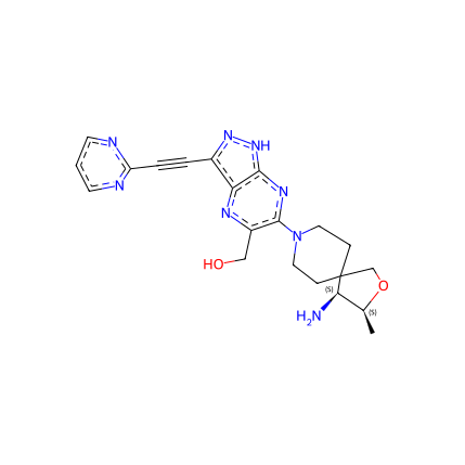 C[C@@H]1OCC2(CCN(c3nc4[nH]nc(C#Cc5ncccn5)c4nc3CO)CC2)[C@@H]1N